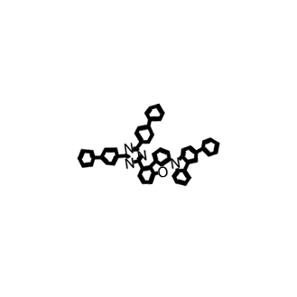 C1=C(c2ccccc2)CCC(c2nc(-c3ccc(-c4ccccc4)cc3)nc(-c3cccc4oc5c(-n6c7ccccc7c7cc(-c8ccccc8)ccc76)cccc5c34)n2)=C1